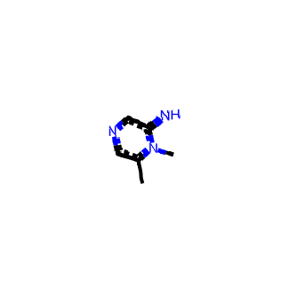 Cc1cncc(=N)n1C